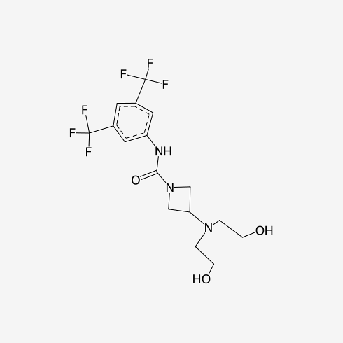 O=C(Nc1cc(C(F)(F)F)cc(C(F)(F)F)c1)N1CC(N(CCO)CCO)C1